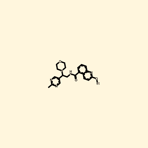 CCOc1ccc2c(C(=O)NCC(c3cnc(C)nc3)N3CCOCC3)cccc2n1